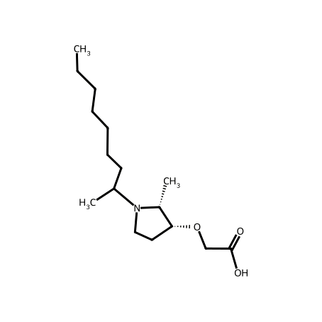 CCCCCCCC(C)N1CC[C@@H](OCC(=O)O)[C@H]1C